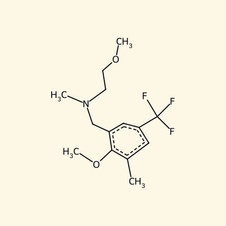 COCCN(C)Cc1cc(C(F)(F)F)cc(C)c1OC